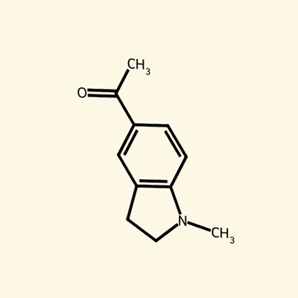 CC(=O)c1ccc2c(c1)CCN2C